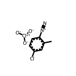 Cc1cc(Cl)ccc1[N+]#N.[O-][Cl+2]([O-])[O-]